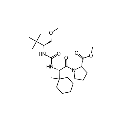 COC[C@@H](NC(=O)N[C@H](C(=O)N1CCC[C@H]1C(=O)OC)C1(C)CCCCC1)C(C)(C)C